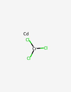 [Cd].[Cl][Cr]([Cl])[Cl]